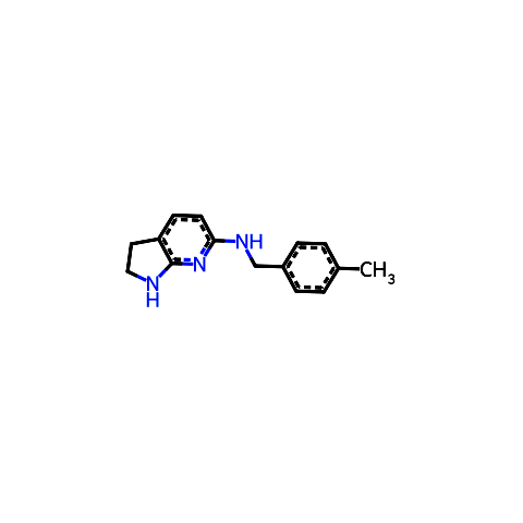 Cc1ccc(CNc2ccc3c(n2)NCC3)cc1